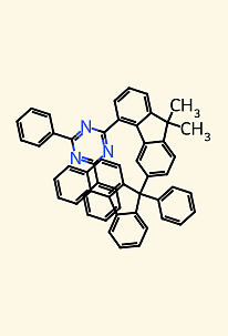 CC1(C)c2ccc(C3(c4ccccc4)c4ccccc4-c4c3ccc3ccccc43)cc2-c2c(-c3nc(-c4ccccc4)nc(-c4ccccc4)n3)cccc21